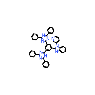 c1ccc(-c2nc(-c3ccccc3)nc(-c3cc(-c4nc(-c5ccccc5)nc(-c5ccccc5)n4)cc(-c4nc5ccccc5n4-c4cccnc4)c3)n2)cc1